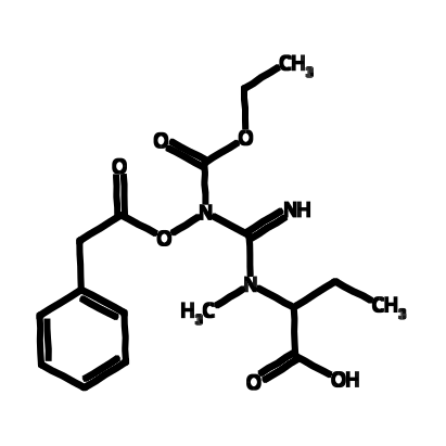 CCOC(=O)N(OC(=O)Cc1ccccc1)C(=N)N(C)C(CC)C(=O)O